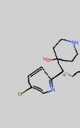 CC[C@H](c1ccc(Cl)cn1)C1(O)CCNCC1